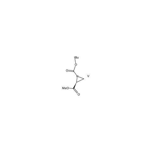 COC(=O)[C@@H]1CN1C(=O)OC(C)(C)C.[V]